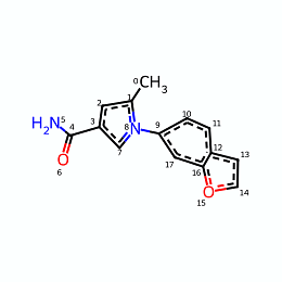 Cc1cc(C(N)=O)cn1-c1ccc2ccoc2c1